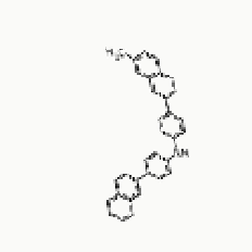 Cc1ccc2ccc(-c3ccc(Nc4ccc(-c5ccc6ccccc6c5)cc4)cc3)cc2c1